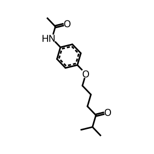 CC(=O)Nc1ccc(OCCCC(=O)C(C)C)cc1